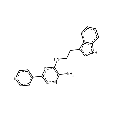 Nc1ncc(-c2ccncc2)nc1NCCc1c[nH]c2ccccc12